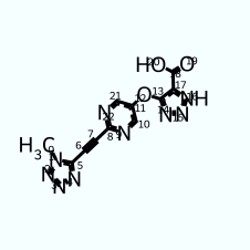 Cn1nnnc1C#Cc1ncc(Oc2nn[nH]c2C(=O)O)cn1